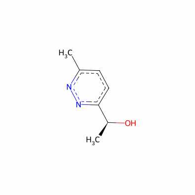 Cc1ccc([C@H](C)O)nn1